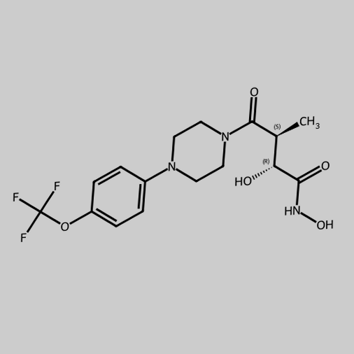 C[C@H](C(=O)N1CCN(c2ccc(OC(F)(F)F)cc2)CC1)[C@@H](O)C(=O)NO